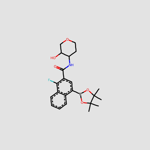 CC1(C)OB(c2cc(C(=O)NC3CCOCC3O)c(F)c3ccccc23)OC1(C)C